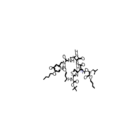 CCCCOC(=O)[C@H](CC(C)C)O/N=C(\C(=O)N[C@@H]1C(=O)N[C@@H]1CNC(=O)NCc1cc(=O)c(OCCCC)cn1OCCCC)c1csc(NC(=O)OC(C)(C)C)n1